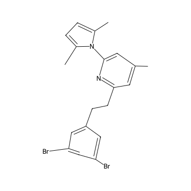 Cc1cc(CCc2cc(Br)cc(Br)c2)nc(-n2c(C)ccc2C)c1